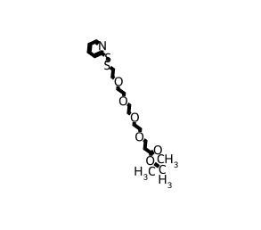 CC(C)(C)OC(=O)CCOCCOCCOCCOCCSSc1ccccn1